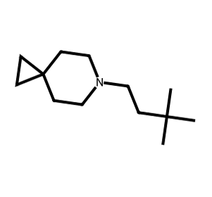 CC(C)(C)CCN1CCC2(CC1)CC2